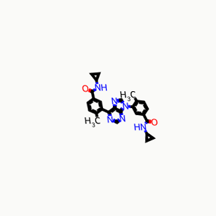 Cc1ccc(C(=O)NC2CC2)cc1-c1ncnc2c1ncn2-c1cc(C(=O)NC2CC2)ccc1C